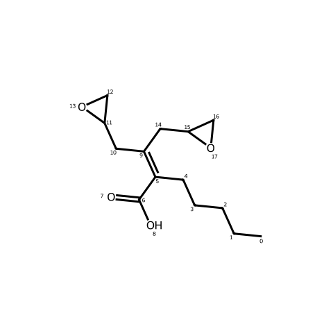 CCCCCC(C(=O)O)=C(CC1CO1)CC1CO1